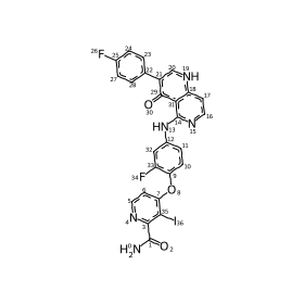 NC(=O)c1nccc(Oc2ccc(Nc3nccc4[nH]cc(-c5ccc(F)cc5)c(=O)c34)cc2F)c1I